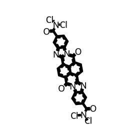 O=C(c1ccc2c(c1)nc1c3ccc4c(=O)n5c6ccc(C(=O)N(Cl)Cl)cc6nc5c5ccc(c(=O)n21)c3c45)N(Cl)Cl